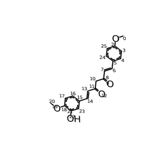 COc1ccc(C=CC(=O)CC(=O)C=Cc2ccc(OC)c(O)c2)cc1